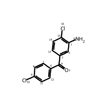 Nc1cc(C(=O)c2ccc(Cl)cc2)ccc1Cl